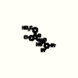 CC(C)c1cc(C(=O)N(O)NC=C2C(=O)N(c3cccc(C(=O)O)c3)c3cc(Cl)ccc32)cc(C(C)C)c1